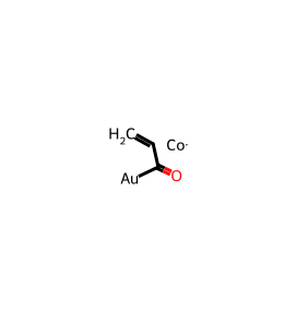 C=C[C](=O)[Au].[Co]